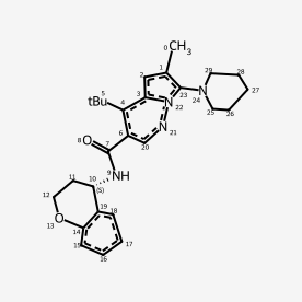 Cc1cc2c(C(C)(C)C)c(C(=O)N[C@H]3CCOc4ccccc43)cnn2c1N1CCCCC1